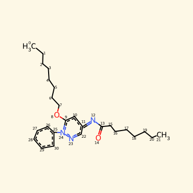 CCCCCCCCOc1cc(=NC(=O)CCCCCCC)cnn1-c1ccccc1